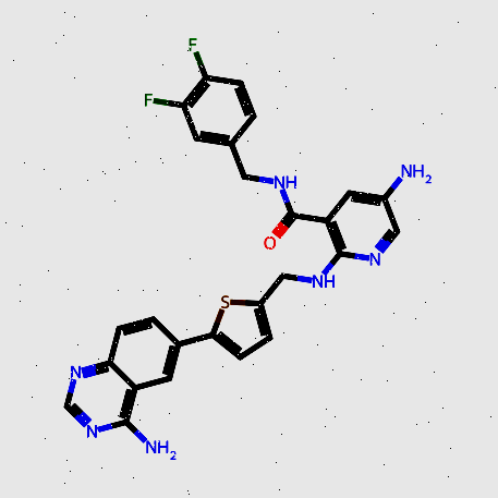 Nc1cnc(NCc2ccc(-c3ccc4ncnc(N)c4c3)s2)c(C(=O)NCc2ccc(F)c(F)c2)c1